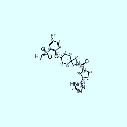 CS(=O)(=O)c1cc(F)ccc1OC1CCC2(CC1)CN(C(=O)N1CCC(c3nnc[nH]3)C1)C2